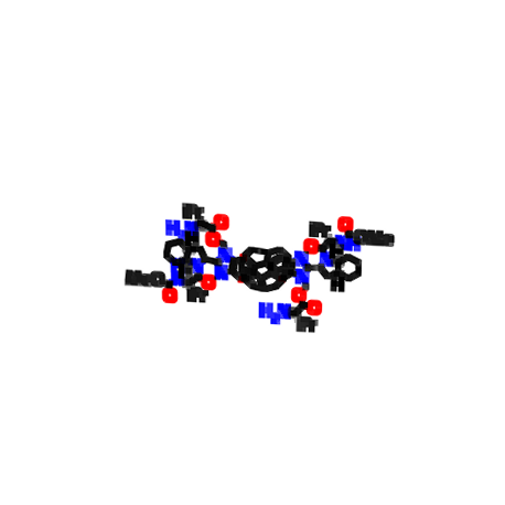 COC(=O)N[C@H](C(=O)N1C(c2nc3ccc(C4=CC5=CCC4CCc4ccc(c(-c6ccc7nc(C8C[C@@H]9CCCC[C@@H]9N8C(=O)[C@@H](NC(=O)OC)C(C)C)n(COC(=O)[C@@H](N)C(C)C)c7c6)c4)CC5)cc3n2COC(=O)[C@@H](N)C(C)C)C[C@@H]2CCCC[C@@H]21)C(C)C